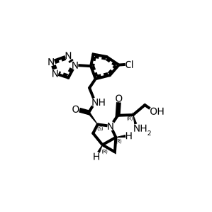 N[C@H](CO)C(=O)N1[C@@H]2C[C@@H]2C[C@H]1C(=O)NCc1cc(Cl)ccc1-n1cnnn1